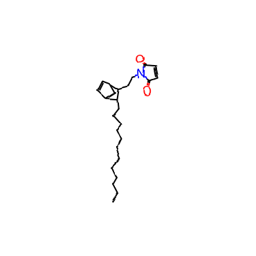 CCCCCCCCCCCCC1C2C=CC(C2)C1CCN1C(=O)C=CC1=O